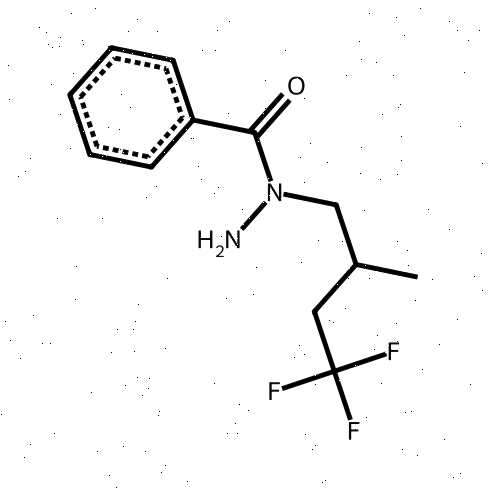 CC(CN(N)C(=O)c1ccccc1)CC(F)(F)F